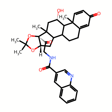 CC1(C)O[C@H]2CC3C4CCC5=CC(=O)C=CC5(C)C4[C@@H](O)CC3(C)[C@]2(C(=O)CNC(=O)c2cnc3ccccc3c2)O1